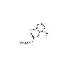 CCOC(=O)CC(=O)Cc1c(Cl)cccc1Cl